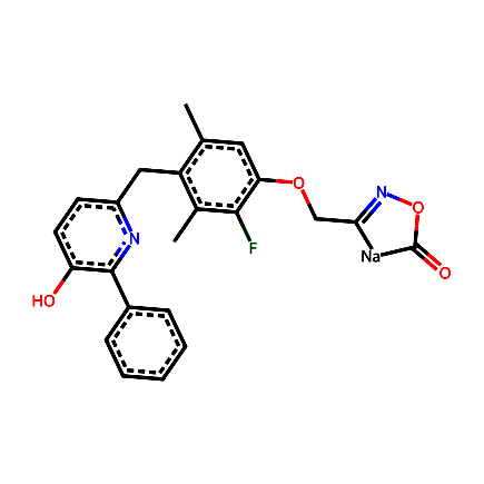 Cc1cc(OC[C]2=NO[C](=O)[Na]2)c(F)c(C)c1Cc1ccc(O)c(-c2ccccc2)n1